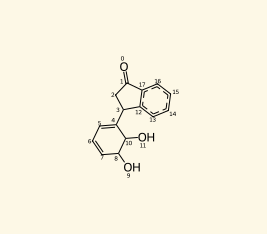 O=C1CC(C2=CC=CC(O)C2O)c2ccccc21